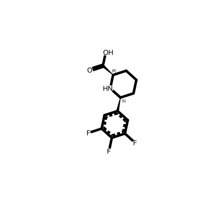 O=C(O)[C@H]1CCC[C@@H](c2cc(F)c(F)c(F)c2)N1